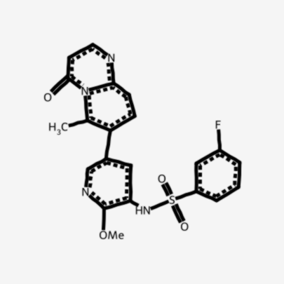 COc1ncc(-c2ccc3nccc(=O)n3c2C)cc1NS(=O)(=O)c1cccc(F)c1